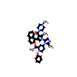 CC(=O)C1CC(n2c(-n3cc(-c4cccc5ccccc45)c(C(=O)N4CCN(C)CC4)c3C)cnc2C)CCN1Oc1ccccc1